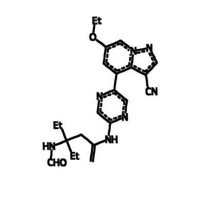 C=C(CC(CC)(CC)NC=O)Nc1cnc(-c2cc(OCC)cn3ncc(C#N)c23)cn1